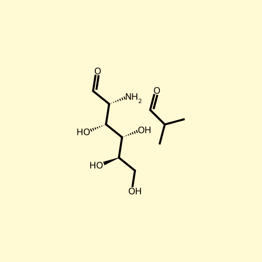 CC(C)C=O.N[C@@H](C=O)[C@@H](O)[C@H](O)[C@H](O)CO